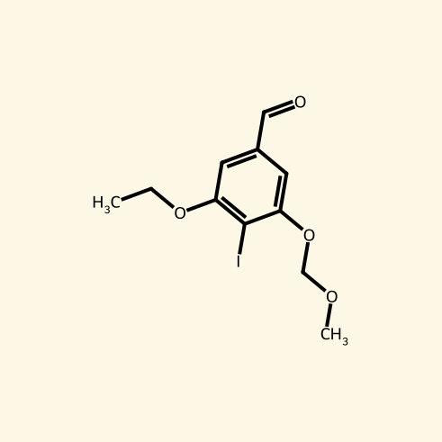 CCOc1cc(C=O)cc(OCOC)c1I